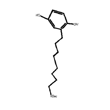 CCCCCCCCCCCCCCCCCCc1cc(O)ccc1O